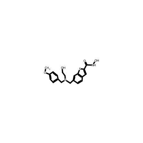 COc1ccc(CN(CCO)Cc2ccc3cc(C(=O)NO)sc3c2)cc1